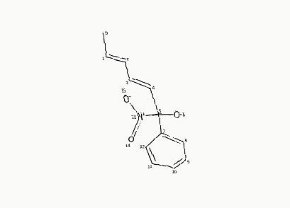 CC=CC=CC([O])(c1ccccc1)[N+](=O)[O-]